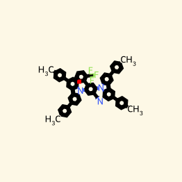 Cc1ccc(-c2ccc3c(c2)c2cc(-c4ccc(C)cc4)ccc2n3-c2cc(-c3ccccc3C(F)(F)F)c(-n3c4ccc(-c5ccc(C)cc5)cc4c4cc(-c5ccc(C)cc5)ccc43)cc2C#N)cc1